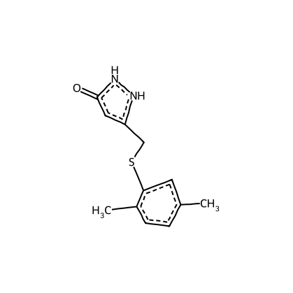 Cc1ccc(C)c(SCc2cc(=O)[nH][nH]2)c1